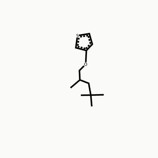 CC(COc1ccsc1)CC(C)(C)C